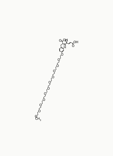 COCCOCCOCCOCCOCCOCCOCCOCCOCCOCCOCCOc1ccc(CC(NC(=O)C=CC(=O)O)C(=O)O)cc1